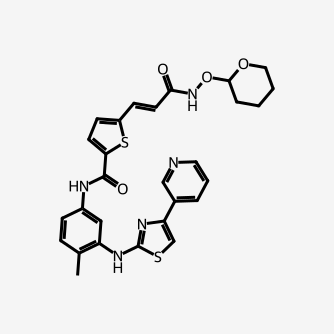 Cc1ccc(NC(=O)c2ccc(C=CC(=O)NOC3CCCCO3)s2)cc1Nc1nc(-c2cccnc2)cs1